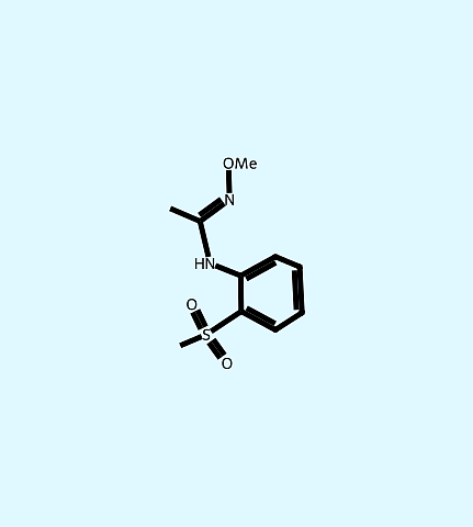 CON=C(C)Nc1ccccc1S(C)(=O)=O